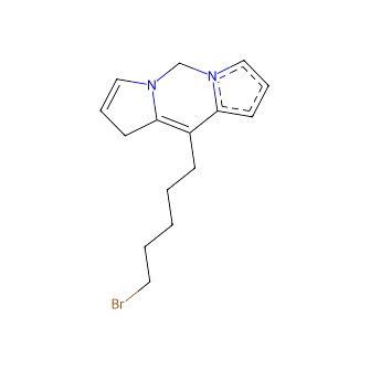 BrCCCCCC1=C2CC=CN2Cn2cccc21